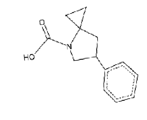 O=C(O)N1CC(c2ccccc2)CC12CC2